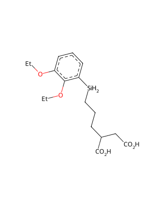 CCOc1cccc([SiH2]CCCC(CC(=O)O)C(=O)O)c1OCC